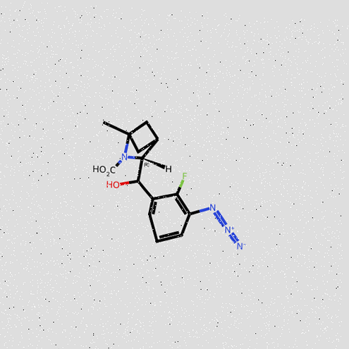 CC12CC(C1)[C@H](C(O)c1cccc(N=[N+]=[N-])c1F)N2C(=O)O